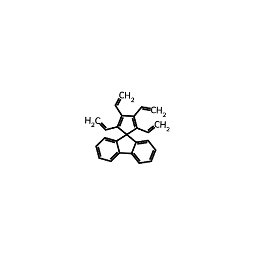 C=CC1=C(C=C)C2(C(C=C)=C1C=C)c1ccccc1-c1ccccc12